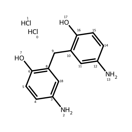 Cl.Cl.Nc1ccc(O)c(Cc2cc(N)ccc2O)c1